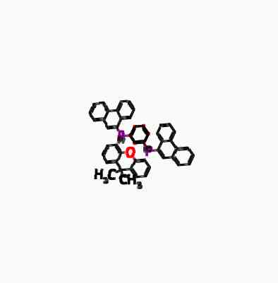 CC1(C)c2cccc([P@@](c3ccccc3)c3cc4ccccc4c4ccccc34)c2Oc2c([P@@](c3ccccc3)c3cc4ccccc4c4ccccc34)cccc21